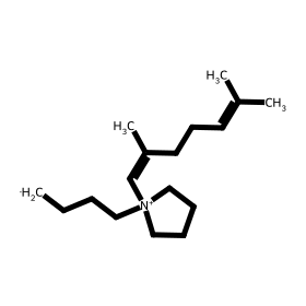 [CH2]CCC[N+]1(C=C(C)CCC=C(C)C)CCCC1